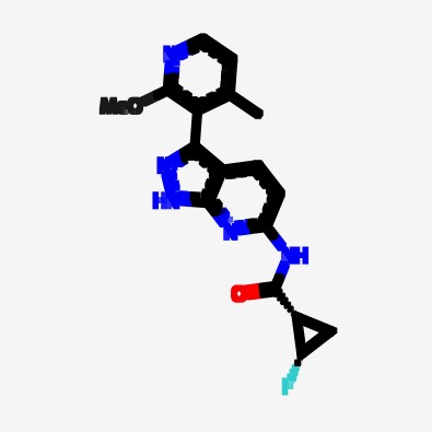 COc1nccc(C)c1-c1n[nH]c2nc(NC(=O)[C@@H]3C[C@@H]3F)ccc12